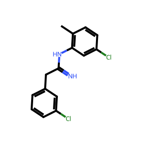 Cc1ccc(Cl)cc1NC(=N)Cc1cccc(Cl)c1